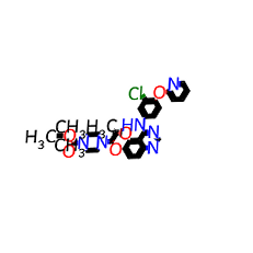 C[C@@H](Oc1cccc2ncnc(Nc3ccc(Oc4ccccn4)c(Cl)c3)c12)C(=O)N1CCN(C(=O)OC(C)(C)C)CC1